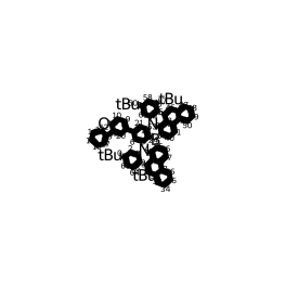 CC(C)(C)c1cc(N2c3cc(-c4ccc5oc6ccccc6c5c4)cc4c3B(c3ccc5c(ccc6ccccc65)c32)c2ccc3c(ccc5ccccc53)c2N4c2cc(C(C)(C)C)cc(C(C)(C)C)c2)cc(C(C)(C)C)c1